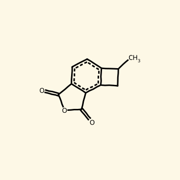 CC1Cc2c1ccc1c2C(=O)OC1=O